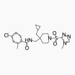 Cc1cc(Cl)ccc1C(=O)NCC1(CC2CC2)CCN(S(=O)(=O)c2nncn2C)CC1